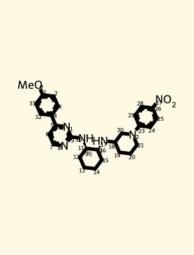 COc1ccc(-c2ccnc(N[C@@H]3CCCC[C@H]3NC3CCCN(c4ccc([N+](=O)[O-])cc4)C3)n2)cc1